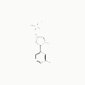 CC(C)(C)[Si](C)(C)O[C@@H]1CC(c2cncc(F)c2)N(C(=O)O)C1